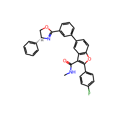 CNC(=O)c1c(-c2ccc(F)cc2)oc2ccc(-c3cccc(C4=N[C@H](c5ccccc5)CO4)c3)cc12